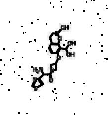 NC(C(=O)N1CC(Oc2ccc3c(c2C(O)O)OB(O)CC3)C1)c1cscn1